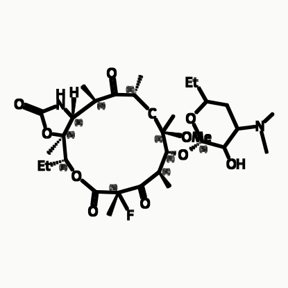 CCC1CC(N(C)C)C(O)[C@H](O[C@@H]2[C@@H](C)C(=O)[C@](C)(F)C(=O)O[C@H](CC)[C@@]3(C)OC(=O)N[C@@H]3[C@@H](C)C(=O)[C@H](C)C[C@@]2(C)OC)O1